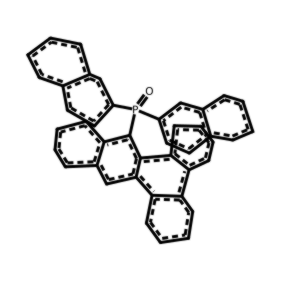 O=P(c1ccc2ccccc2c1)(c1ccc2ccccc2c1)c1c2ccccc2cc2c3ccccc3c3ccccc3c12